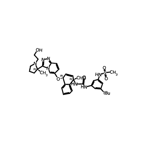 CC(C)(C)c1cc(NC(=O)N[C@@]2(C=O)C=C[C@@H](Oc3ccc4nnc([C@]5(C)CCCN5CCO)n4c3)c3ccccc32)cc(NS(C)(=O)=O)c1